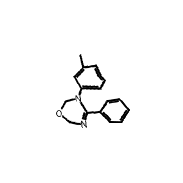 Cc1cccc(N2COCN=C2c2ccccc2)c1